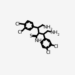 NCC(c1ccc(Cl)c(Cl)c1)C(C(N)=S)C(CN)c1ccc(Cl)c(Cl)c1